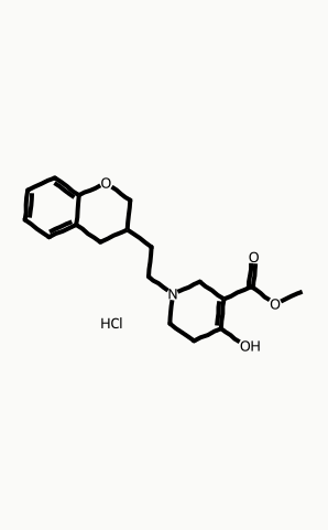 COC(=O)C1=C(O)CCN(CCC2COc3ccccc3C2)C1.Cl